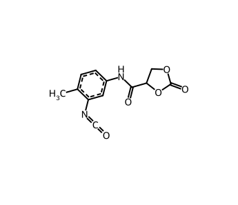 Cc1ccc(NC(=O)C2COC(=O)O2)cc1N=C=O